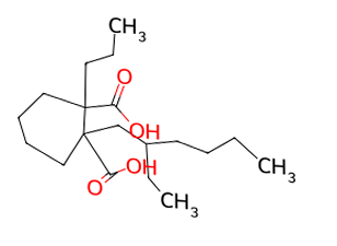 CCCCC(CC)CC1(C(=O)O)CCCCC1(CCC)C(=O)O